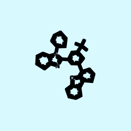 CC(C)(C)c1cc(-c2cccc3c2oc2ccccc23)cc(-c2nc3ccccc3n2-c2ccccc2)c1